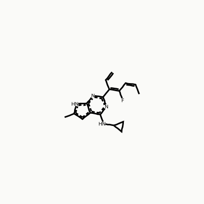 C=C/C(=C(F)\C=C/C)c1nc(NC2CC2)c2cc(C)[nH]c2n1